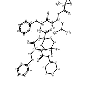 CC(C)C[C@@H](CC(=O)[C@@]1(C)CO1)NC(=O)[C@H](Cc1ccccc1)NC(=O)C1(NC(=O)[C@H](CCc2ccccc2)NC(=O)CN2CCOCC2)CCC(F)(F)CC1